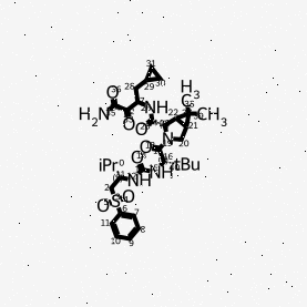 CC(C)[C@@H](CS(=O)(=O)c1ccccc1)NC(=O)N[C@H](C(=O)N1CC2C([C@H]1C(=O)NC(CC1CC1)C(=O)C(N)=O)C2(C)C)C(C)(C)C